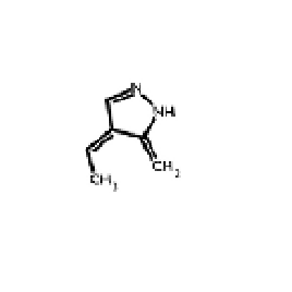 C=c1[nH]nc/c1=C/C